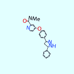 CNC(=O)c1cc(Oc2ccc(C3=NNC(c4ccccc4)C3)cc2)ccn1